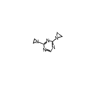 c1nc(N2CC2)nc(N2CC2)n1